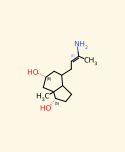 C/C(N)=C\CC1C[C@@H](O)CC2(C)C1CC[C@@H]2O